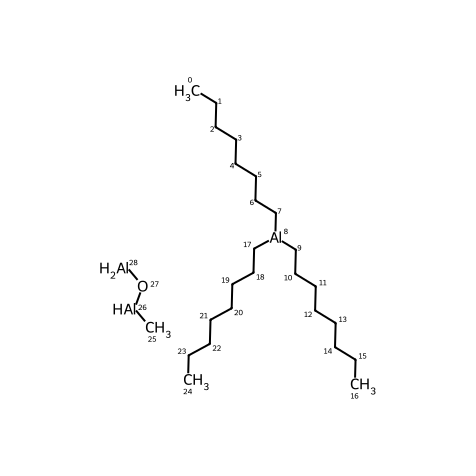 CCCCCCC[CH2][Al]([CH2]CCCCCCC)[CH2]CCCCCCC.[CH3][AlH][O][AlH2]